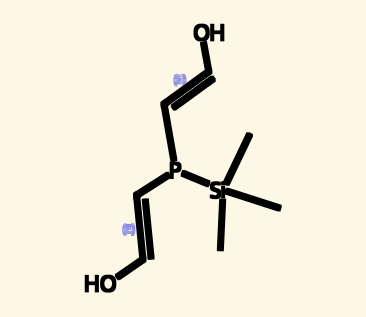 C[Si](C)(C)P(/C=C/O)/C=C/O